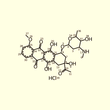 CNC1CC(O[C@H]2C[C@](O)(C(C)=O)Cc3c(O)c4c(c(O)c32)C(=O)c2c(OC)cccc2C4=O)OC(C)C1O.Cl